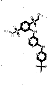 CCS(=O)(=O)c1ccc(S(=O)(=O)NC)cc1Nc1cc(Nc2ccc(C(F)(F)F)cn2)ncn1